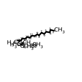 Br.CCCCCCCCCCCCCCCC(CC)[Si](C)(C)OC.P